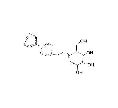 OC[C@H]1C(O)C(O)C(O)CN1CCc1ccc(-c2ccccc2)cc1